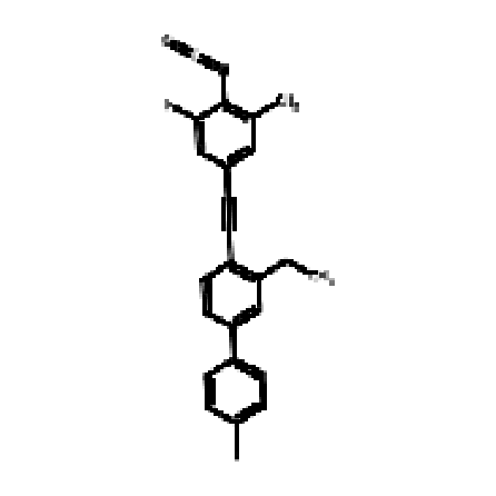 CCc1cc(-c2ccc(I)cc2)ccc1C#Cc1cc(C)c(N=C=S)c(F)c1